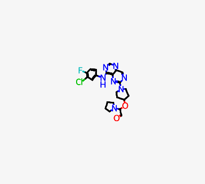 O=CC(OC1CCN(c2ncc3ncnc(Nc4ccc(F)c(Cl)c4)c3n2)CC1)N1CCCC1